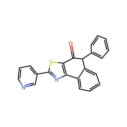 O=C1c2sc(-c3cccnc3)nc2-c2ccccc2C1c1ccccc1